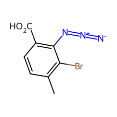 Cc1ccc(C(=O)O)c(N=[N+]=[N-])c1Br